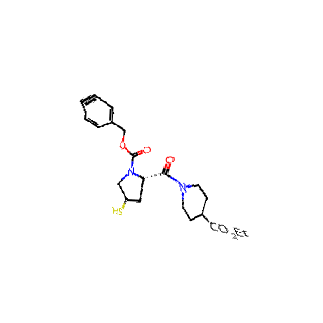 CCOC(=O)C1CCN(C(=O)[C@@H]2C[C@@H](S)CN2C(=O)OCc2ccccc2)CC1